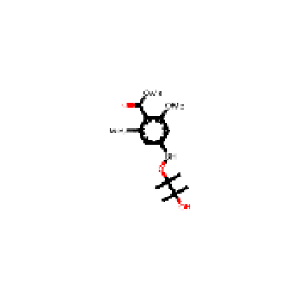 COC(=O)c1c(OC)cc(BOC(C)(C)C(C)(C)O)cc1OC